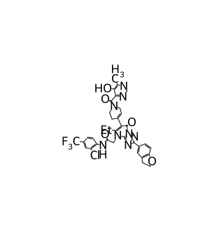 CCc1c(C2=CCN(C(=O)c3ncnc(C)c3O)CC2)c(=O)n2nc(-c3ccc4c(c3)CCO4)nc2n1CC(=O)Nc1ccc(C(F)(F)F)cc1Cl